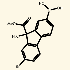 COC(=O)C1(C)c2cc(Br)ccc2-c2ccc(B(O)O)cc21